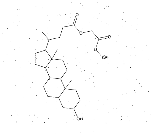 CC(CCC(=O)OCC(=O)OC(C)(C)C)C1CCC2C3CCC4CC(O)CCC4(C)C3CCC12C